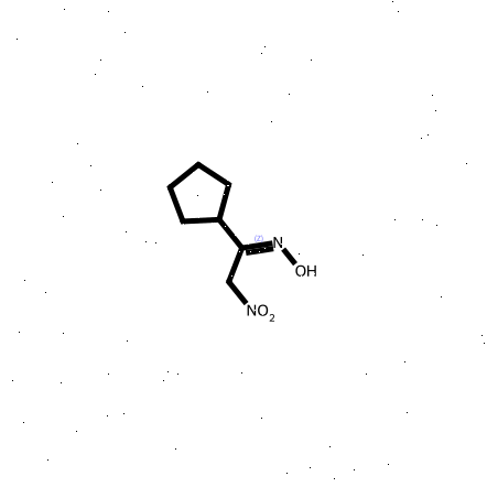 O=[N+]([O-])C/C(=N\O)C1CCCC1